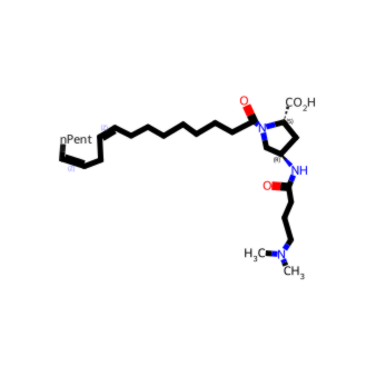 CCCCC/C=C\C/C=C\CCCCCCCC(=O)N1C[C@H](NC(=O)CCCN(C)C)C[C@H]1C(=O)O